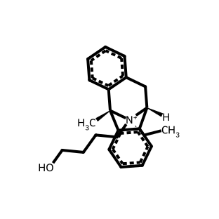 CC[N@@+]1(CCCCO)[C@@H]2Cc3ccccc3[C@@]1(C)c1ccccc12